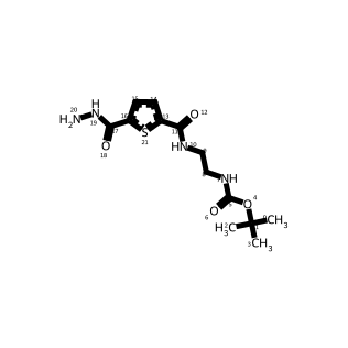 CC(C)(C)OC(=O)NCCNC(=O)c1ccc(C(=O)NN)s1